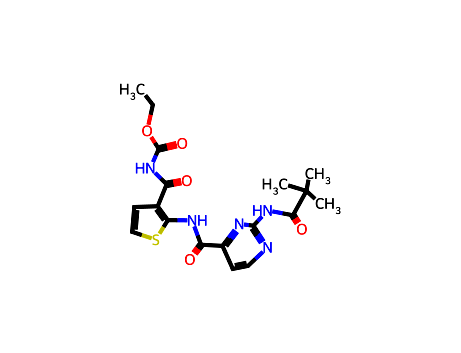 CCOC(=O)NC(=O)c1ccsc1NC(=O)c1ccnc(NC(=O)C(C)(C)C)n1